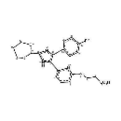 O=C(O)CCNc1nccc(-c2[nH]c(C3OCCCO3)nc2-c2ccc(F)cc2)n1